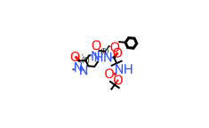 CN1N=C2CCN(C(=O)[C@@H](COCc3ccccc3)NC(=O)C(C)(C)NC(=O)OC(C)(C)C)C[C@]2(C)C1=O